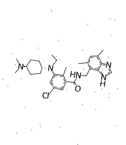 CCN(c1cc(Cl)cc(C(=O)NCc2c(C)cc(C)c3nc[nH]c23)c1C)[C@H]1CC[C@H](N(C)C)CC1